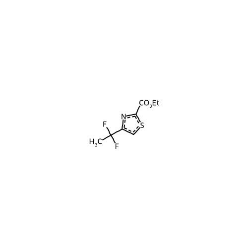 CCOC(=O)c1nc(C(C)(F)F)cs1